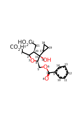 O=C(O)CC1O[C@H](COC(=O)c2ccccc2)[C@@](O)(C2CC2)[C@@H]1CC(=O)O